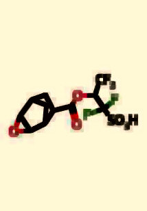 O=C(OC(C(F)(F)F)C(F)(F)S(=O)(=O)O)C1CC2CC1C1OC21